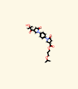 CC(C)OCCCOC(=O)C1CC(=O)N(c2ccc(N3CC(C(=O)C(C)(C)O)CC3=O)cc2)C1